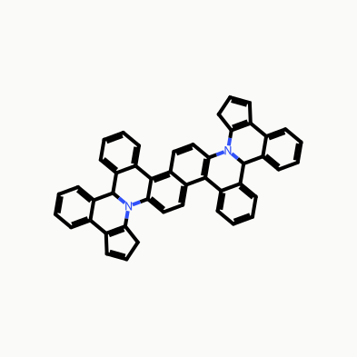 C1=CC2=C(C1)N1c3ccc4c5c(ccc4c3-c3ccccc3C1c1ccccc12)N1C2=C(C=CC2)c2ccccc2C1c1ccccc1-5